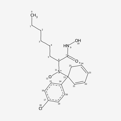 CCCCCCC(C(=O)NO)[S+]([O-])C1(c2ccc(Cl)cc2)C=CC=CC1